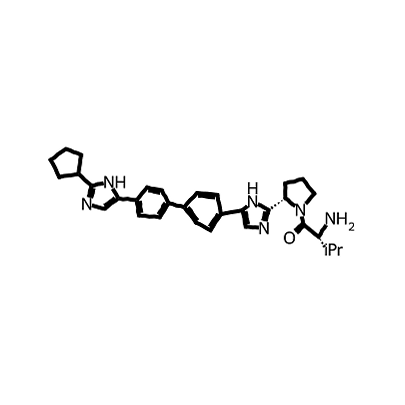 CC(C)[C@@H](N)C(=O)N1CCC[C@H]1c1ncc(-c2ccc(-c3ccc(-c4cnc(C5CCCC5)[nH]4)cc3)cc2)[nH]1